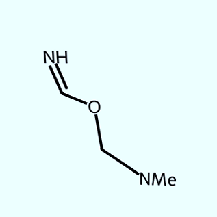 CNCOC=N